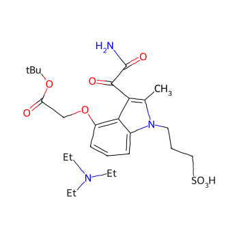 CCN(CC)CC.Cc1c(C(=O)C(N)=O)c2c(OCC(=O)OC(C)(C)C)cccc2n1CCCS(=O)(=O)O